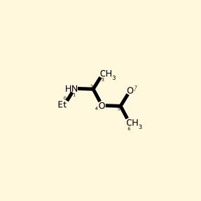 CCNC(C)OC(C)[O]